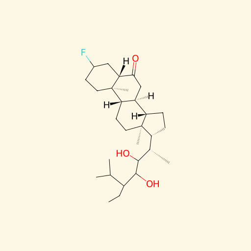 CCC(C(C)C)C(O)C(O)[C@@H](C)[C@H]1CC[C@H]2[C@@H]3CC(=O)[C@H]4CC(F)CC[C@]4(C)[C@H]3CC[C@]12C